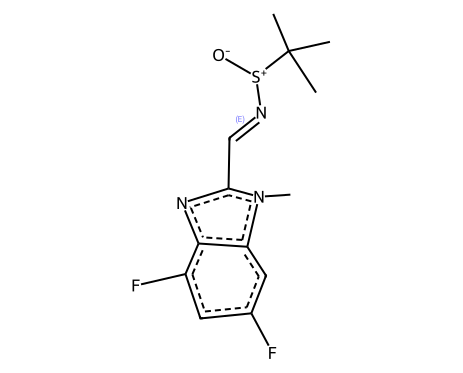 Cn1c(/C=N/[S+]([O-])C(C)(C)C)nc2c(F)cc(F)cc21